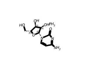 Nc1ccn([C@@H]2O[C@H](CO)[C@@H](O)[C@H]2O)c(=O)n1.P